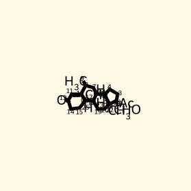 CC(=O)[C@@]1(C=O)CC[C@H]2[C@@H]3CC(C)C4=CC(=O)CC[C@]4(C)[C@H]3CC[C@@]21C